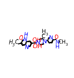 CCc1cc2ncc(C(O)(O)N3CCN(c4ccc(C(=O)NC)nc4)[C@@H](C)C3)cc2[nH]c1=O